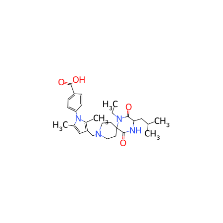 CCN1C(=O)C(CC(C)C)NC(=O)C12CCN(Cc1cc(C)n(-c3ccc(C(=O)O)cc3)c1C)CC2